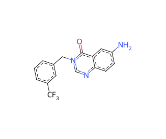 Nc1ccc2ncn(Cc3cccc(C(F)(F)F)c3)c(=O)c2c1